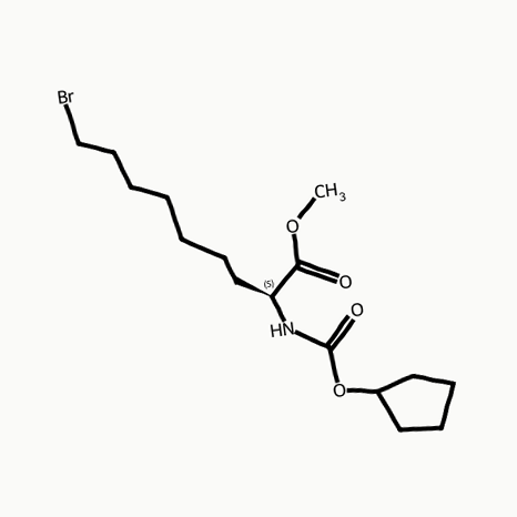 COC(=O)[C@H](CCCCCCCBr)NC(=O)OC1CCCC1